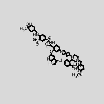 COc1ccc(CN2CCN(C3CC4(C3)CN(c3ccc(C(=O)NS(=O)(=O)c5ccc(NCC6CCC(C)(O)CC6)c([N+](=O)[O-])c5)c(Oc5cnc6[nH]cc(Cl)c6c5)c3)C4)C(c3ccccc3C(C)C)C2)cc1